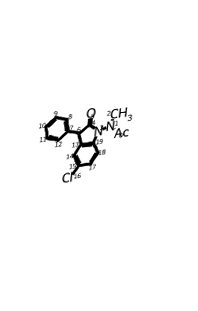 CC(=O)N(C)N1C(=O)C(c2ccccc2)c2cc(Cl)ccc21